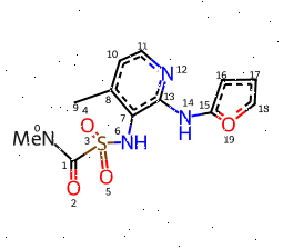 CNC(=O)S(=O)(=O)Nc1c(C)ccnc1Nc1ccco1